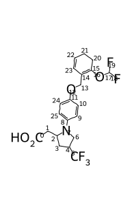 O=C(O)CC1CC(C(F)(F)F)CN1c1ccc(OCC2=C(OC(F)F)CCC=C2)cc1